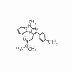 Cc1ccc(-c2nc3n(C)c4ccccc4n3c2CC(=O)N(C)C)cc1